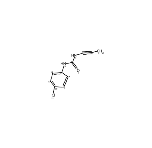 CC#CNC(=O)Nc1ccc(Cl)cc1